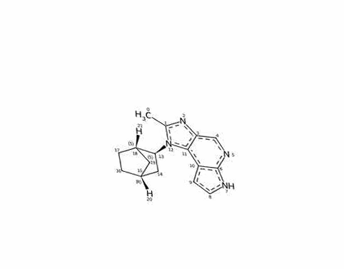 Cc1nc2cnc3[nH]ccc3c2n1[C@H]1C[C@@H]2CC[C@H]1C2